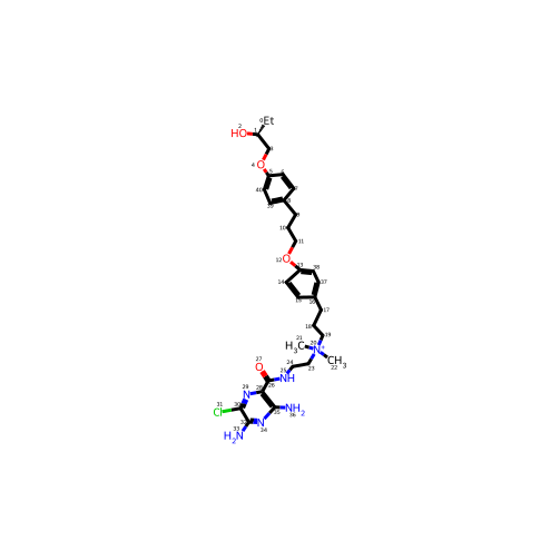 CC[C@H](O)COc1ccc(CCCOc2ccc(CCC[N+](C)(C)CCNC(=O)c3nc(Cl)c(N)nc3N)cc2)cc1